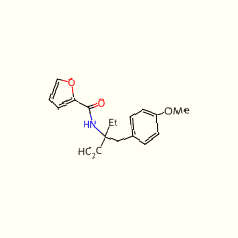 CCC(Cc1ccc(OC)cc1)(NC(=O)c1ccco1)C(=O)O